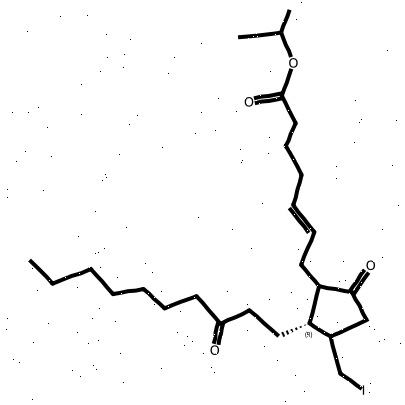 CCCCCCCC(=O)CC[C@H]1C(CI)CC(=O)C1CC=CCCCC(=O)OC(C)C